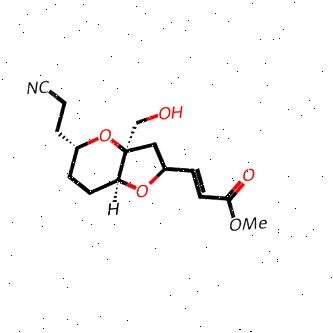 COC(=O)/C=C/C1C[C@]2(CO)O[C@@H](CCC#N)CC[C@@H]2O1